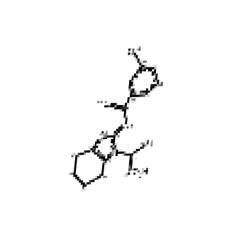 CCC(C(=O)O)n1c2c(s/c1=N\C(=O)c1cccc(Cl)c1)CCCC2